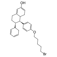 OC1=CCC2C(=C1)CC[C@H](C1C=CC=CC1)[C@@H]2c1ccc(OCCCCCBr)cc1